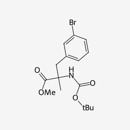 COC(=O)C(C)(Cc1cccc(Br)c1)NC(=O)OC(C)(C)C